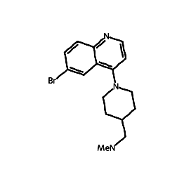 CNCC1CCN(c2ccnc3ccc(Br)cc23)CC1